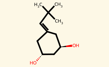 CC(C)(C)C=C1C[C@@H](O)C[C@H](O)C1